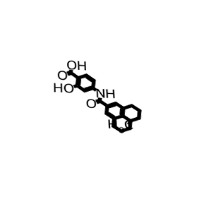 CC12CCCc3cc(C(=O)Nc4ccc(C(=O)O)c(O)c4)cc(c31)CCC2